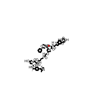 Cc1ncsc1-c1ccc([C@H](C)NC(=O)[C@@H]2C[C@@H](O)CN2C(=O)[C@@H](NC(=O)CCCNC(=O)CO[C@H]2C[C@@H](C(=O)N3CCO[C@H](c4ccccc4)C3)N(C(=O)[C@@H](NC(=O)c3cc4cc(C(F)(F)P(=O)(O)O)ccc4s3)C(C)(C)C)C2)C(C)(C)C)cc1